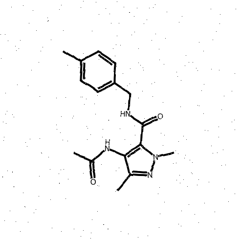 CC(=O)Nc1c(C)nn(C)c1C(=O)NCc1ccc(C)cc1